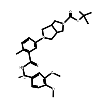 COc1ccc([C@@H](C)NC(=O)c2cc(N3CC4CN(C(=O)OC(C)(C)C)CC4C3)ccc2C)cc1OC